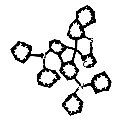 c1ccc(N(c2ccccc2)c2ccc3c(c2)C2(c4ccccc4Sc4c2ccc2ccccc42)c2cccc(N(c4ccccc4)c4ccccc4)c2-3)cc1